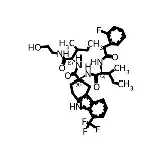 CCC(C)[C@H](NC(=O)Cc1ccccc1F)C(=O)N[C@]1(C(=O)N[C@H](C(=O)NCCO)C(C)CC)CCc2[nH]c3c(C(F)(F)F)cccc3c2C1